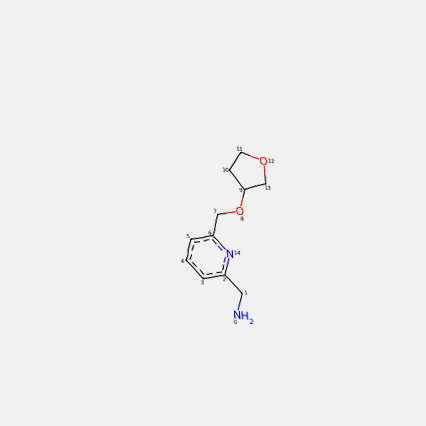 NCc1cccc(COC2CCOC2)n1